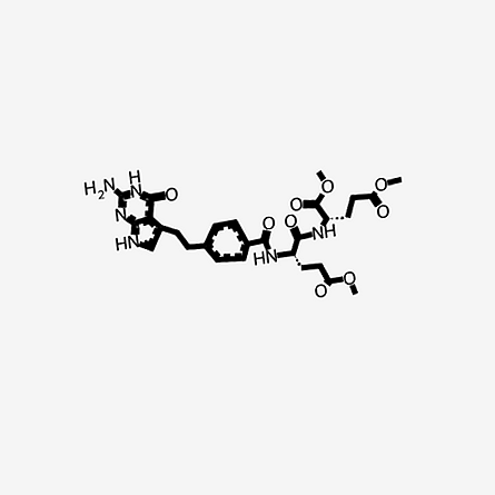 COC(=O)CC[C@H](NC(=O)c1ccc(CCc2c[nH]c3nc(N)[nH]c(=O)c23)cc1)C(=O)N[C@@H](CCC(=O)OC)C(=O)OC